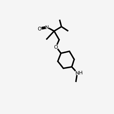 CNC1CCC(OCC(C)(N=O)C(C)C)CC1